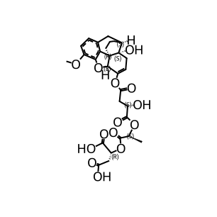 COc1ccc2c3c1O[C@@H]1C(OC(=O)C[C@H](O)C(=O)O[C@@H](C)C(=O)O[C@H](CC(=O)O)C(=O)O)=CC[C@]4(O)[C@@H](CCC[C@@]314)C2